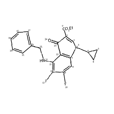 CCOC(=O)c1cn(C2CC2)c2cc(F)c(F)c(NCc3ccccc3)c2c1=O